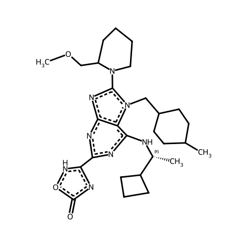 COCC1CCCCN1c1nc2nc(-c3nc(=O)o[nH]3)nc(N[C@H](C)C3CCC3)c2n1CC1CCC(C)CC1